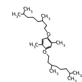 Cc1cc(OCCC(C)CCCC(C)C)c(C)cc1OCCC(C)CCCC(C)C